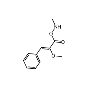 CNOC(=O)C(=Cc1ccccc1)OC